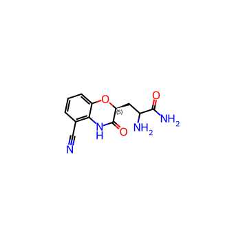 N#Cc1cccc2c1NC(=O)[C@H](CC(N)C(N)=O)O2